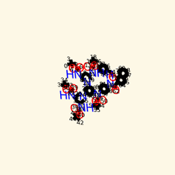 CC(C)(C)OC(=O)NC1CC(NC(=O)OC(C)(C)C)CN(c2cc(N3CC(NC(=O)OC(C)(C)C)CC(NC(=O)OC(C)(C)C)C3)cc(N(C(=O)OC(C)(C)C)c3ccc(NC(=O)c4ccc5ccccc5c4OCc4ccccc4)cc3)c2)C1